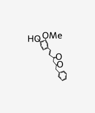 COc1cc(/C=C/C(=O)CC(=O)Cc2ccccc2)ccc1O